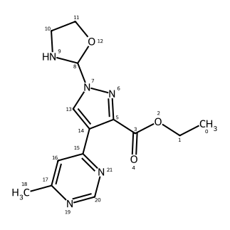 CCOC(=O)c1nn(C2NCCO2)cc1-c1cc(C)ncn1